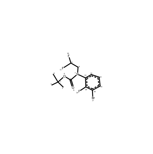 CC(C)(C)OC(=O)N(CC(F)F)c1cccc(Br)c1F